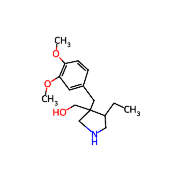 CCC1CNCC1(CO)Cc1ccc(OC)c(OC)c1